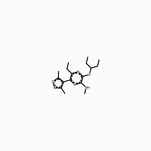 CCc1nc(OC(CC)CC)c(NC)nc1-c1c(C)noc1C